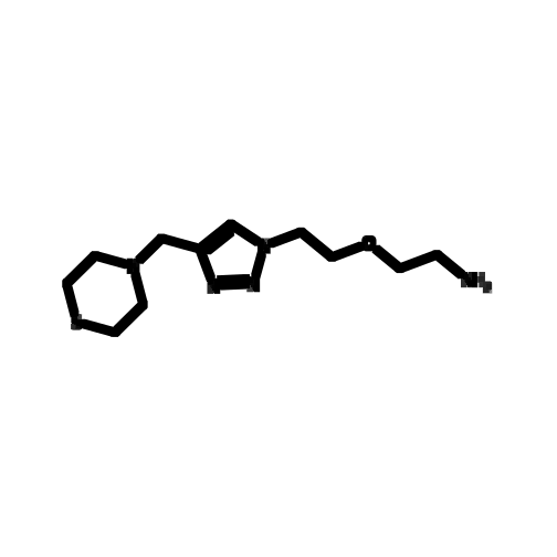 NCCOCCn1cc(CN2CCSCC2)nn1